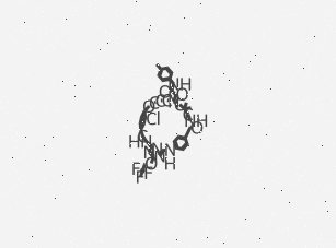 Cc1ccc(NC(=O)C(=O)N2CCCOc3ccc(cc3Cl)CNc3nc(nc(OCC(F)(F)F)n3)Nc3ccc(cc3)C(=O)NCC(C)(C)C2)cc1